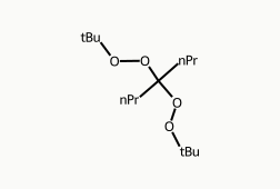 CCCC(CCC)(OOC(C)(C)C)OOC(C)(C)C